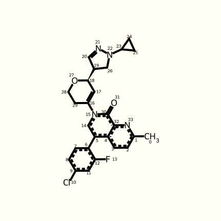 Cc1ccc2c(-c3ccc(Cl)cc3F)cn(C3=C[C@H](C4C=NN(C5CC5)C4)OCC3)c(=O)c2n1